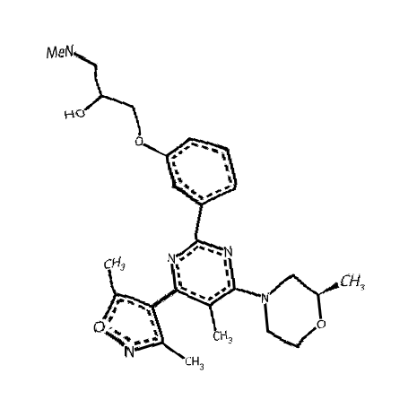 CNCC(O)COc1cccc(-c2nc(-c3c(C)noc3C)c(C)c(N3CCO[C@H](C)C3)n2)c1